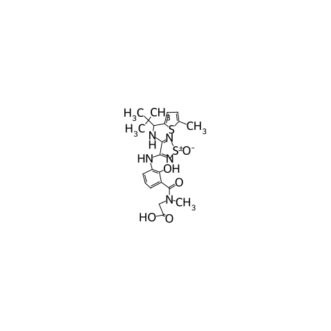 Cc1ccc(C(Nc2n[s+]([O-])nc2Nc2cccc(C(=O)N(C)CC(=O)O)c2O)C(C)(C)C)s1